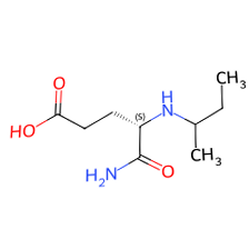 CCC(C)N[C@@H](CCC(=O)O)C(N)=O